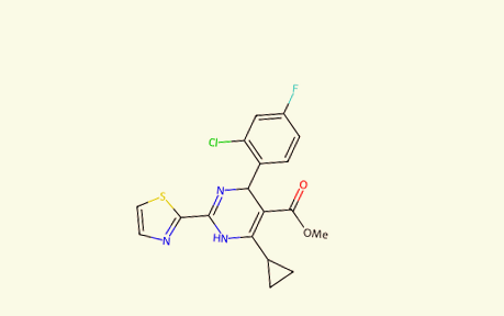 COC(=O)C1=C(C2CC2)NC(c2nccs2)=NC1c1ccc(F)cc1Cl